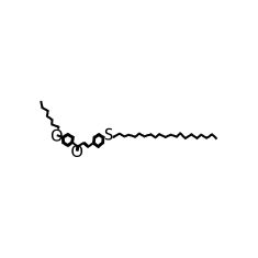 CCCCCCCCCCCCCCCCCCCCCSc1ccc(C=CC(=O)c2ccc(OCCCCCCC)cc2)cc1